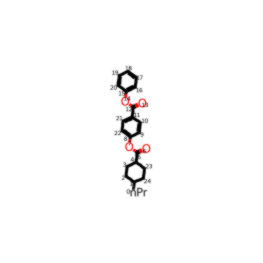 CCCC1CCC(C(=O)Oc2ccc(C(=O)Oc3ccccc3)cc2)CC1